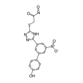 O=NC(=O)CSc1nnc(-c2cc(-c3ccc(O)cc3)cc([N+](=O)[O-])c2)[nH]1